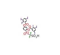 O=C(OCC(F)(F)S(=O)(=O)O)c1ccc(OC(=O)c2cc(I)cc(I)c2I)cc1OC(=O)c1cc(I)cc(I)c1I